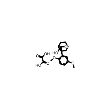 COc1ccc(OC)c(C2(O)CN3CCC2CC3)c1.O=C(O)C(=O)O